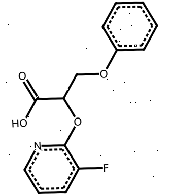 O=C(O)C(COc1ccccc1)Oc1ncccc1F